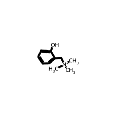 C[N+](C)(C)Cc1ccccc1O